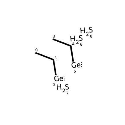 C[CH2][Ge].C[CH2][Ge].S.S.S